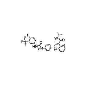 CC(C)NC(=O)c1cc(-c2ccc(NC(=O)Nc3ccc(F)c(C(F)(F)F)c3)cc2)nc2cccnc12